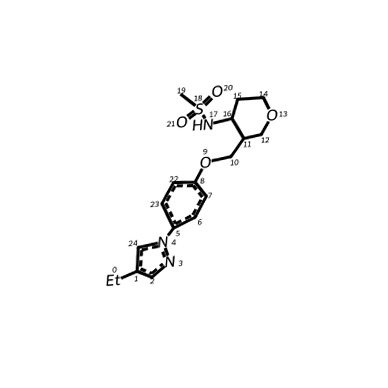 CCc1cnn(-c2ccc(OCC3COCCC3NS(C)(=O)=O)cc2)c1